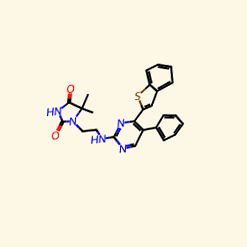 CC1(C)C(=O)NC(=O)N1CCNc1ncc(-c2ccccc2)c(-c2cc3ccccc3s2)n1